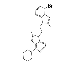 CC1=Cc2c(Br)cccc2C1CCC1C(C)=Cc2c(C3CCCCC3)cccc21